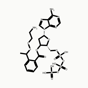 CC(SSCCN)c1ccccc1C(=O)OC1C[C@H](n2cnc3c(N)ncnc32)O[C@@H]1COP(=O)(O)OP(=O)(O)OP(=O)(O)O